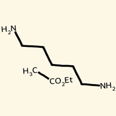 CCOC(C)=O.NCCCCCN